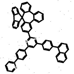 c1ccc(-c2ccc(-c3cc(-c4ccc(-c5cccc6ccccc56)cc4)nc(-c4ccc5c(c4)-c4ccccc4-c4ccccc4C54c5ccccc5-c5ccccc54)n3)cc2)nc1